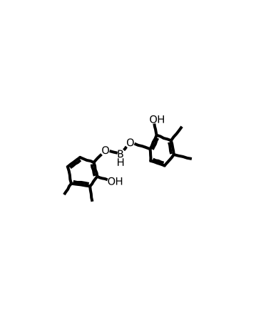 Cc1ccc(OBOc2ccc(C)c(C)c2O)c(O)c1C